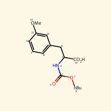 CCCCOC(=O)NC(Cc1cccc(OC)c1)C(=O)O